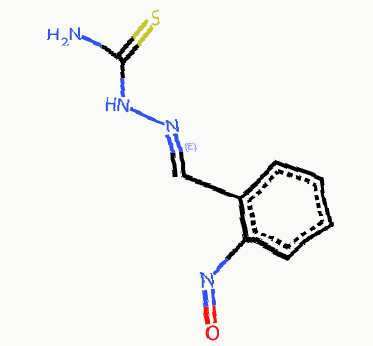 NC(=S)N/N=C/c1ccccc1N=O